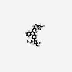 CC[C@]1(O)C[C@](N)(c2ccc(-c3nc4c(cnc5cc(C)nn54)cc3-c3ccccc3)cc2)C1